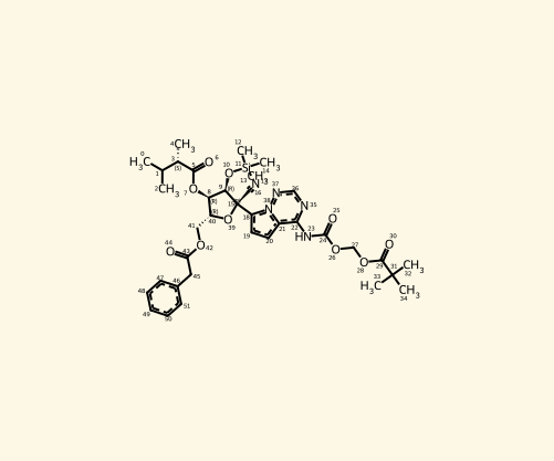 CC(C)[C@H](C)C(=O)O[C@H]1[C@@H](O[Si](C)(C)C)[C@](C#N)(c2ccc3c(NC(=O)OCOC(=O)C(C)(C)C)ncnn23)O[C@@H]1COC(=O)Cc1ccccc1